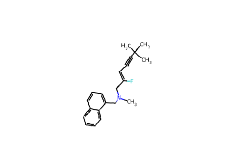 CN(C/C(F)=C/C#CC(C)(C)C)Cc1cccc2ccccc12